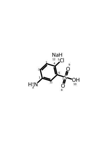 Nc1ccc(Cl)c(S(=O)(=O)O)c1.[NaH]